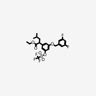 CCOC(=O)C(CC(C)C)c1cc(OCc2cc(F)cc(F)c2)cc(OS(=O)(=O)C(F)(F)F)c1